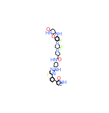 O=C1CCC(Nc2ccc(N3CCC(N4CCC(C(=O)N[C@H]5CC[C@H](Nc6ncc(F)c(-c7cccc(-c8ccc[nH]c8=O)c7)n6)CC5)CC4)C(F)(F)C3)c(F)c2)C(=O)N1